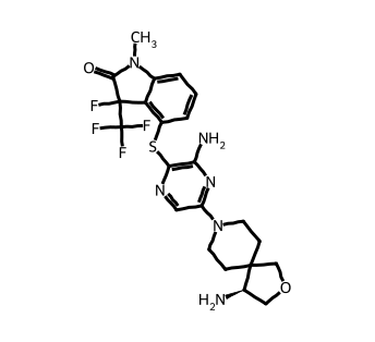 CN1C(=O)C(F)(C(F)(F)F)c2c(Sc3ncc(N4CCC5(CC4)COC[C@H]5N)nc3N)cccc21